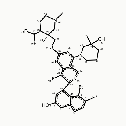 CCc1c(F)ccc2cc(O)cc(-c3ncc4c(N5CCCC(C)(O)C5)nc(OC[C@]5(C)CN(C)CC[C@@H]5C(F)F)nc4c3F)c12